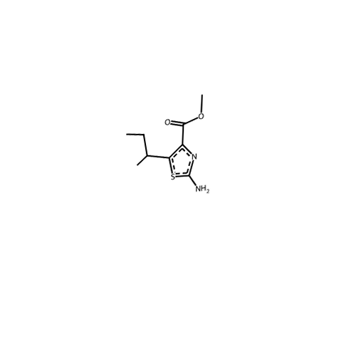 CCC(C)c1sc(N)nc1C(=O)OC